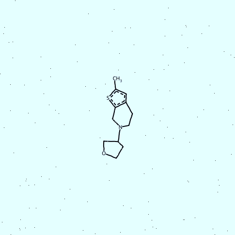 Cc1cc2c(s1)CN(C1CCOC1)CC2